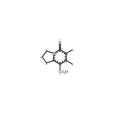 CCOC(=O)c1c(C)c(C)c(=O)n2c1CCC2